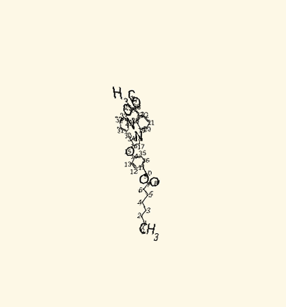 CCCCCCCC(=O)OCc1ccc(OC2CN(c3cccc(C(=O)OC)c3-n3cccc3)C2)cc1